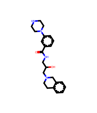 O=C(NCC(O)CN1CCc2ccccc2C1)c1cccc(N2CCNCC2)c1